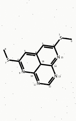 CSC1=CC2=CC(SC)=NC3=NC=NC(=N1)C23